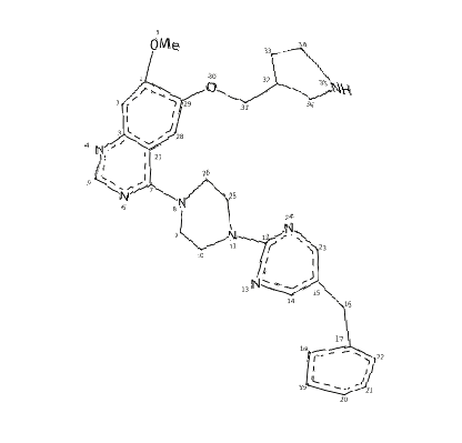 COc1cc2ncnc(N3CCN(c4ncc(Cc5ccccc5)cn4)CC3)c2cc1OCC1CCNC1